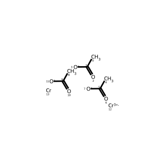 CC(=O)[O-].CC(=O)[O-].CC(=O)[O-].[Cr+3].[Cr]